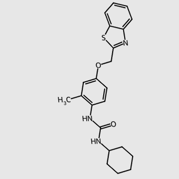 Cc1cc(OCc2nc3ccccc3s2)ccc1NC(=O)NC1CCCCC1